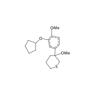 COc1ccc(C2(OC)CCCSC2)cc1OC1CCCC1